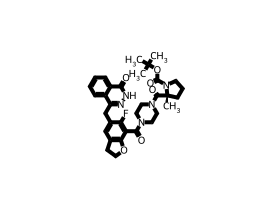 CC(C)(C)OC(=O)N1CCC[C@]1(C)C(=O)N1CCN(C(=O)c2c(F)c(Cc3n[nH]c(=O)c4ccccc34)cc3c2OCC3)CC1